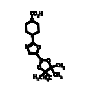 CC1(C)OB(c2cnc(N3CCN(C(=O)O)CC3)o2)OC1(C)C